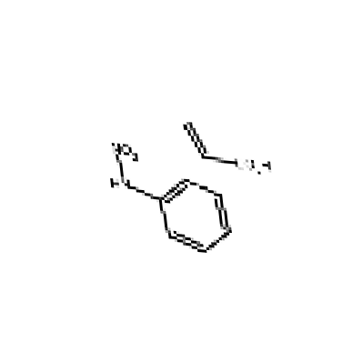 C=CC(=O)O.O=[N+]([O-])Nc1ccccc1